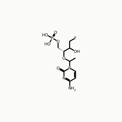 CC(O[C@H](COP(=O)(O)O)C(O)CF)n1ccc(N)nc1=O